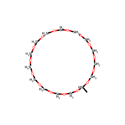 C[SiH]1O[SiH2]O[SiH2]O[SiH2]O[SiH2]O[SiH2]O[SiH2]O[SiH2]O[SiH2]O[SiH2]O[SiH2]O[SiH2]O[SiH2]O[SiH2]O[SiH2]O1